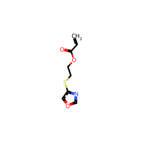 C=CC(=O)OCCSc1cocn1